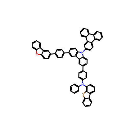 c1ccc(N(c2ccc(-c3ccc4c(c3)c3cc(-c5ccc(-c6ccc7oc8ccccc8c7c6)cc5)ccc3n4-c3ccc4c5ccccc5c5ccccc5c4c3)cc2)c2cccc3c2sc2ccccc23)cc1